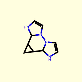 C1=CN2C(N1)C1CC1C1NC=CN12